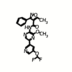 COc1nc(-c2cncc(OC(F)F)c2)cnc1NC(=O)c1c(-c2ccccc2)noc1C